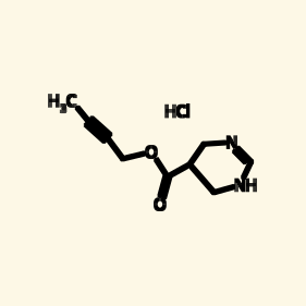 CC#CCOC(=O)C1CN=CNC1.Cl